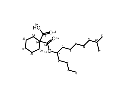 CCCCC(CCCCCC(C)C)OC(=O)C1(C(=O)O)CCCCC1